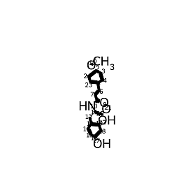 COc1ccc(C=CC(=O)N[C@@H](Cc2ccc(O)cc2)C(=O)O)cc1